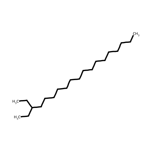 CCCCCCCCCCCCCCCCC(CC)CC